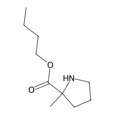 CCCCOC(=O)C1(C)CCCN1